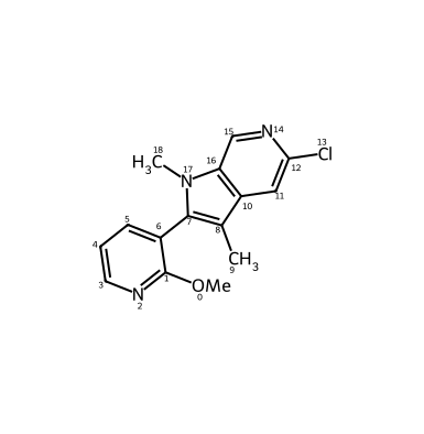 COc1ncccc1-c1c(C)c2cc(Cl)ncc2n1C